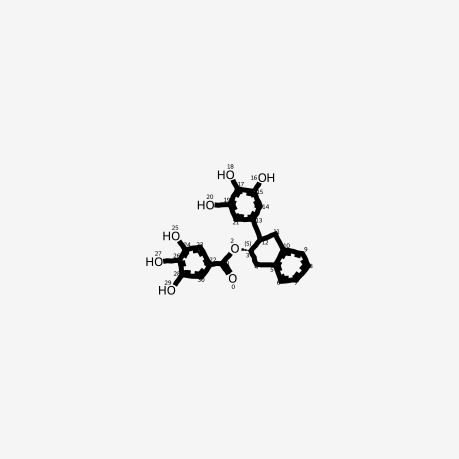 O=C(O[C@H]1Cc2ccccc2CC1c1cc(O)c(O)c(O)c1)c1cc(O)c(O)c(O)c1